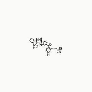 CCC(C#N)CCCC1CNCCN1C(=O)c1ccc2[nH]c(-c3c(N)c4ccccc4[nH]c3=O)nc2c1